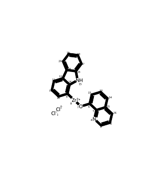 [Cl-].[Cl-].c1cnc2c([O][Zr+2][c]3cccc4c3[nH]c3ccccc34)cccc2c1